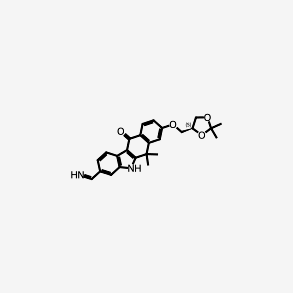 CC1(C)OC[C@H](COc2ccc3c(c2)C(C)(C)c2[nH]c4cc(C=N)ccc4c2C3=O)O1